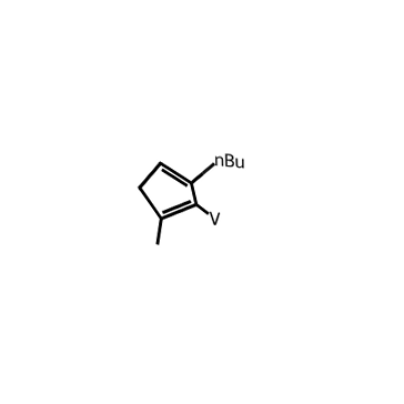 CCCCC1=CCC(C)=[C]1[V]